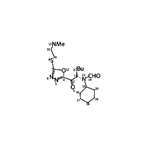 CC[C@H](C)[C@@H](C(=O)c1nnc(SCCNC)o1)N(C=O)C1CCCCC1